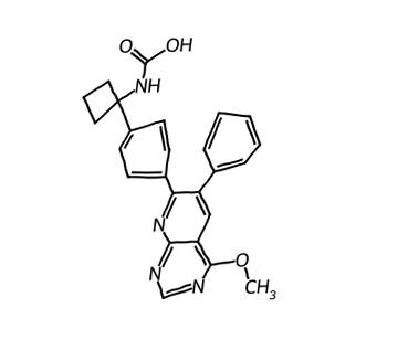 COc1ncnc2nc(-c3ccc(C4(NC(=O)O)CCC4)cc3)c(-c3ccccc3)cc12